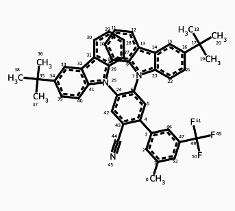 Cc1cc(-c2cc(-n3c4ccccc4c4cc(C(C)(C)C)ccc43)c(-n3c4ccccc4c4cc(C(C)(C)C)ccc43)cc2C#N)cc(C(F)(F)F)c1